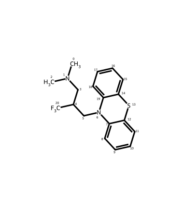 CN(C)CC(CN1c2ccccc2Sc2ccccc21)C(F)(F)F